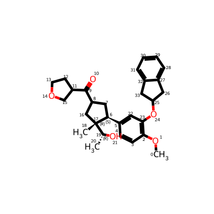 COc1ccc([C@@H]2CC(C(=O)C3CCOC3)C[C@@]2(C)[C@@H](C)O)cc1OC1Cc2ccccc2C1